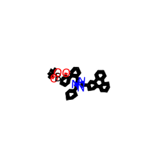 CC1(C)OB(c2cccc3c2oc2cccc(-c4nc(-c5ccccc5)nc(-c5ccc6c7ccccc7c7ccccc7c6c5)n4)c23)OC1(C)C